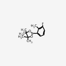 [CH2]c1c(F)cccc1B1OC(C)(C)C(C)(C)O1